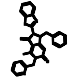 Cc1c2c(=O)n(-c3nc4ccccc4s3)n(Cc3ccccc3)c2cc(=O)n1Cc1ccccn1